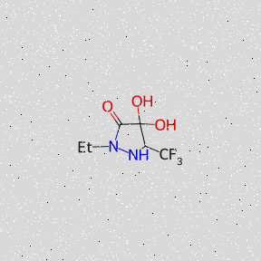 CCN1NC(C(F)(F)F)C(O)(O)C1=O